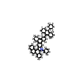 c1ccc(-c2c3ccccc3c(-c3ccc4c(c3)c3ccccc3c3cc5c6c7c8ccccc8ccc7c7ccccc7c6n(-c6ccccc6)c5cc43)c3ccccc23)cc1